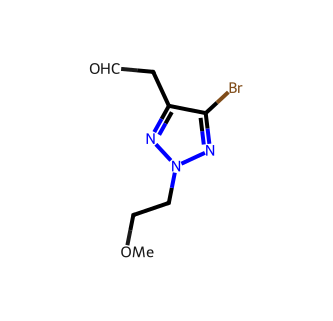 COCCn1nc(Br)c(CC=O)n1